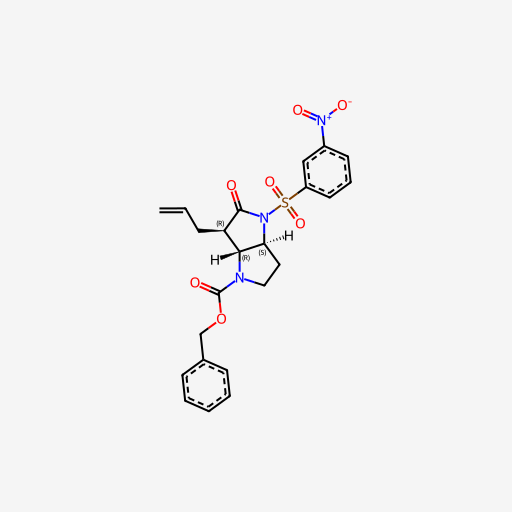 C=CC[C@H]1C(=O)N(S(=O)(=O)c2cccc([N+](=O)[O-])c2)[C@H]2CCN(C(=O)OCc3ccccc3)[C@H]12